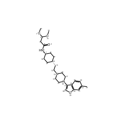 COC(CC(=O)N[C@H]1CC[C@H](CCN2CCN(c3noc4cc(C)ccc34)CC2)CC1)OC